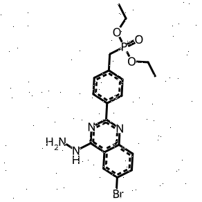 CCOP(=O)(Cc1ccc(-c2nc(NN)c3cc(Br)ccc3n2)cc1)OCC